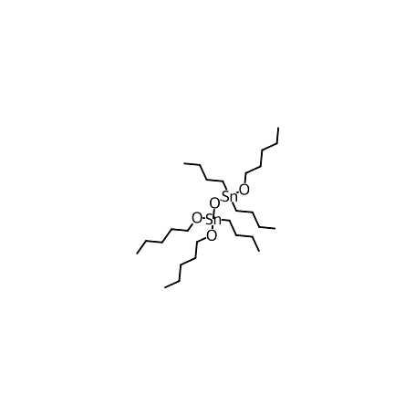 CCCCC[O][Sn]([CH2]CCC)([CH2]CCC)[O][Sn]([CH2]CCC)([O]CCCCC)[O]CCCCC